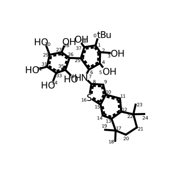 CC(C)(C)c1c(O)c(O)c(Nc2cc3cc4c(cc3s2)C(C)(C)CCC4(C)C)c(-c2c(O)c(O)c(O)c(O)c2O)c1O